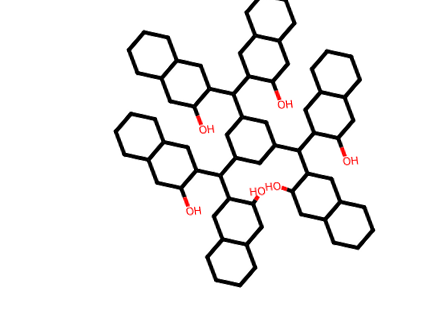 OC1CC2CCCCC2CC1C(C1CC(C(C2CC3CCCCC3CC2O)C2CC3CCCCC3CC2O)CC(C(C2CC3CCCCC3CC2O)C2CC3CCCCC3CC2O)C1)C1CC2CCCCC2CC1O